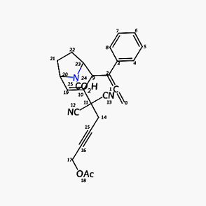 C=C=C(c1ccccc1)C1C(C(C#N)(C#N)CC#CCOC(C)=O)=CC2CCC1N2C(=O)O